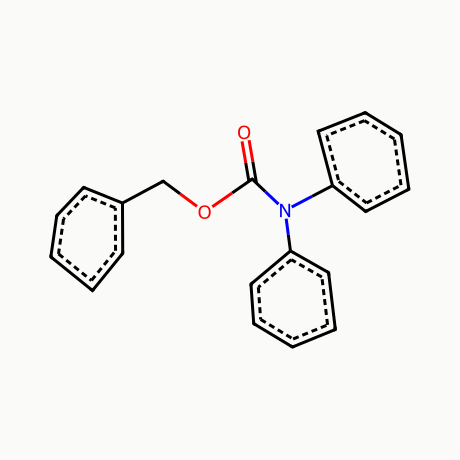 O=C(OCc1ccccc1)N(c1ccccc1)c1ccccc1